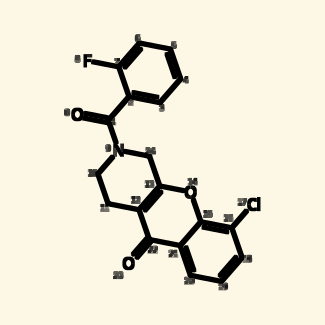 O=C(c1ccccc1F)N1CCc2c(oc3c(Cl)cccc3c2=O)C1